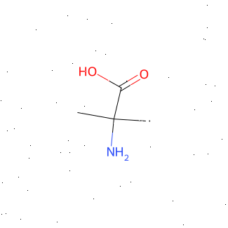 [CH2]C(C)(N)C(=O)O